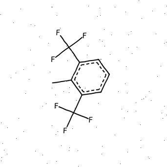 Cc1c(C(F)(F)F)[c]ccc1C(F)(F)F